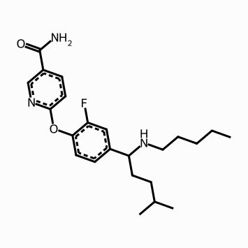 CCCCCNC(CCC(C)C)c1ccc(Oc2ccc(C(N)=O)cn2)c(F)c1